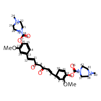 COc1cc(/C=C/C(=O)CC(=O)/C=C/c2ccc(OC(=O)N3CCN(C)CC3)c(OC)c2)ccc1OC(=O)N1CCN(C)CC1